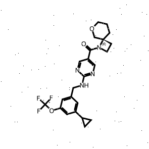 O=C(c1cnc(NCc2cc(OC(F)(F)F)cc(C3CC3)c2)nc1)N1CC[C@@]12CCCOC2